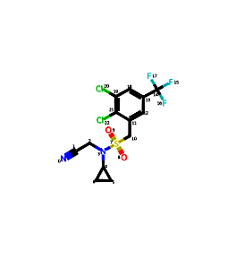 N#CCN(C1CC1)S(=O)(=O)Cc1cc(C(F)(F)F)cc(Cl)c1Cl